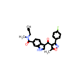 C#CCN(C)C(=O)c1ccc2c(C(=O)c3c(-c4ccc(F)cc4)noc3C)c[nH]c2c1